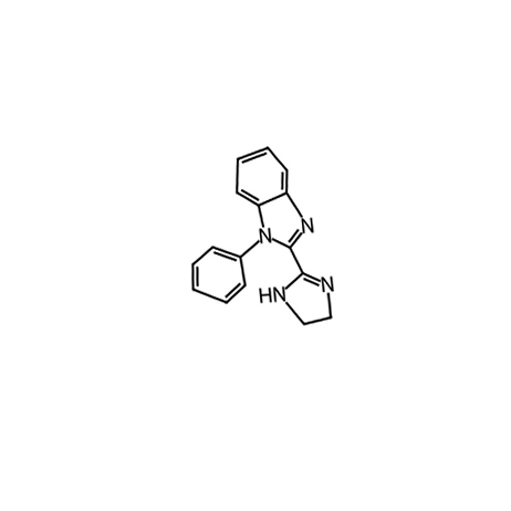 c1ccc(-n2c(C3=NCCN3)nc3ccccc32)cc1